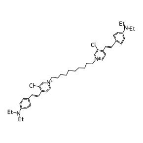 CCN(CC)c1ccc(/C=C/c2cc[n+](CCCCCCCCCC[n+]3ccc(/C=C/c4ccc(N(CC)CC)cc4)c(Cl)c3)cc2Cl)cc1